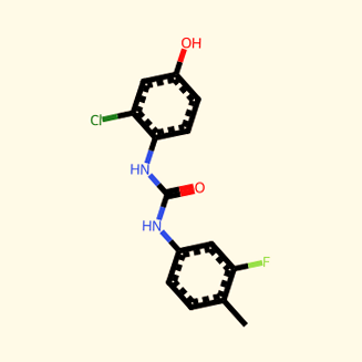 Cc1ccc(NC(=O)Nc2ccc(O)cc2Cl)cc1F